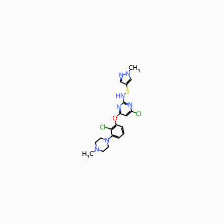 CN1CCN(c2cccc(Oc3cc(Cl)nc(NSc4cnn(C)c4)n3)c2Cl)CC1